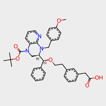 COc1ccc(CN2c3ncccc3N(C(=O)OC(C)(C)C)C[C@@H]2[C@@H](OCCc2cccc(CC(=O)O)c2)c2ccccc2)cc1